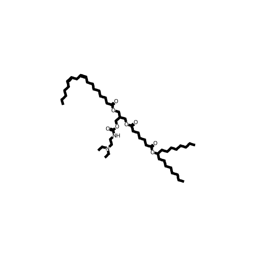 CCCCC/C=C\C/C=C\CCCCCCCC(=O)OCC(COC(=O)CCCCCC(=O)OC(CCCCCCCC)CCCCCCCC)COC(=O)NCCN(CC)CC